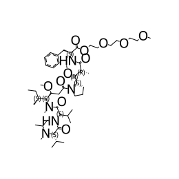 CC[C@H](C)[C@@H](C(CC(=O)N1CCC[C@H]1[C@H](OC)[C@@H](C)C(=O)N[C@@H](Cc1ccccc1)C(=O)OCCOCCOCCOC)OC)N(C)C(=O)[C@@H](NC(=O)[C@H](C(C)C)N(C)C(C)C)C(C)C